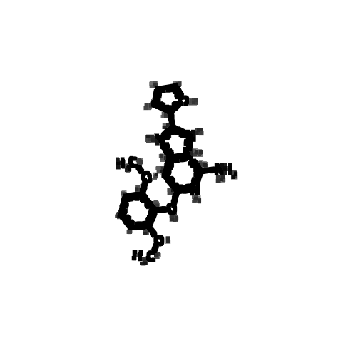 COc1cccc(OC)c1Oc1cc2nc(-c3ccco3)nn2c(N)n1